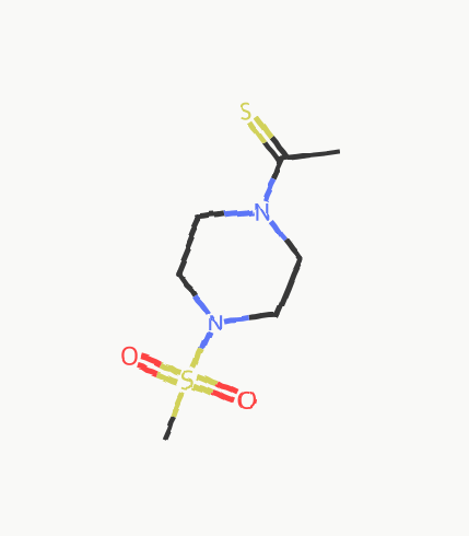 CC(=S)N1CCN(S(C)(=O)=O)CC1